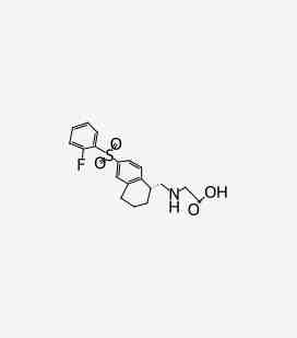 O=C(O)CNC[C@@H]1CCCc2cc(S(=O)(=O)c3ccccc3F)ccc21